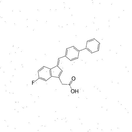 O=C(O)CC1=C/C(=C\c2ccc(-c3ccccc3)cc2)c2ccc(F)cc21